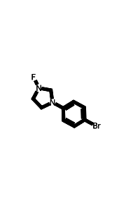 FN1CCN(c2ccc(Br)cc2)C1